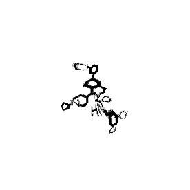 O=C(CN1CCc2cc(-c3cccc(Cl)c3)ccc2C1C1CCN(C2CCCC2)CC1)Nc1cc(Cl)cc(Cl)c1